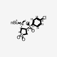 CCCCN(C)[C@H]1CS(=O)(=O)C[C@@H]1S(=O)(=O)c1ccc(Cl)cc1